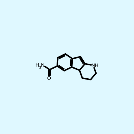 NC(=O)c1ccc2c(c1)C1CCCNC1=C2